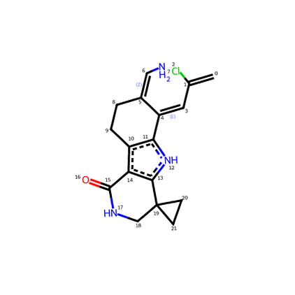 C=C(Cl)/C=C1\C(=C/N)CCc2c1[nH]c1c2C(=O)NCC12CC2